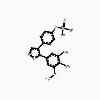 COc1cc(-c2oncc2-c2ccc(OP(=O)(O)O)cc2)cc(C)c1C